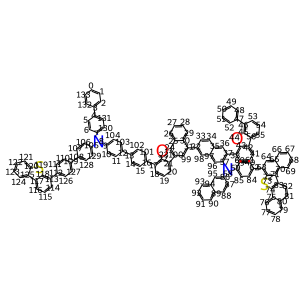 c1ccc(-c2ccc(N(c3ccc(-c4ccc(-c5cccc6c5oc5c7ccccc7c(-c7ccc8cc(-c9cccc%10c9oc9c(-c%11ccccc%11)cccc9%10)c(N(c9ccc(-c%10cc%11ccccc%11c%11c%10sc%10c%12ccccc%12ccc%10%11)cc9)c9ccc%10ccccc%10c9)cc8c7)cc65)cc4)cc3)c3ccc(-c4ccc(-c5cccc6c5sc5ccccc56)cc4)cc3)cc2)cc1